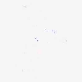 Cc1ccc(-n2nc(C(C)(C)C)cc2NC(=O)Cc2cccc(F)c2F)cc1